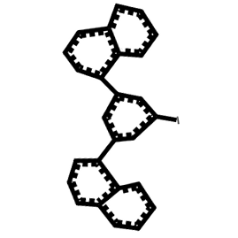 Ic1cc(-c2cccc3ccccc23)cc(-c2cccc3ccccc23)c1